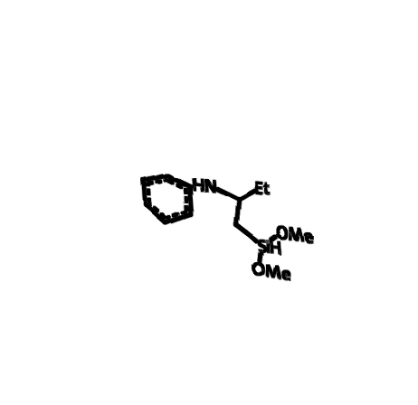 CCC(C[SiH](OC)OC)Nc1ccccc1